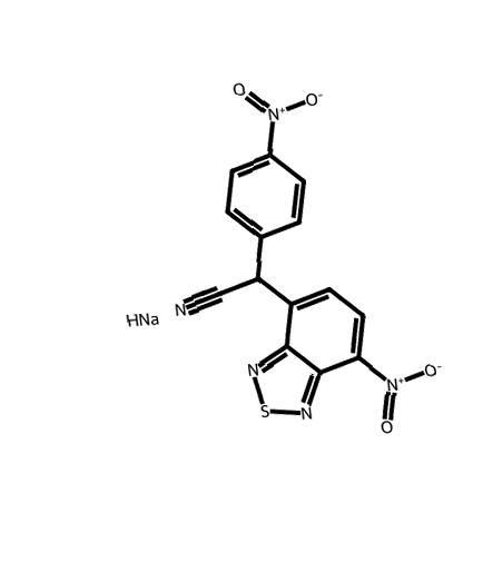 N#CC(c1ccc([N+](=O)[O-])cc1)c1ccc([N+](=O)[O-])c2nsnc12.[NaH]